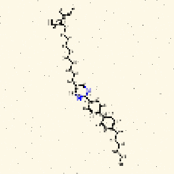 CC=C(C)[SiH2]CCCCCCCCCCc1cnc(-c2ccc(-c3ccc(CCCCCC)cc3)cc2)nc1